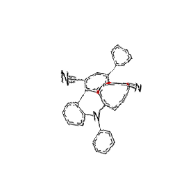 N#Cc1cc(-c2ccccc2N(c2ccccc2)c2ccccc2)c(C#N)cc1-c1ccccc1